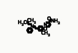 Cc1cc(CCN(CCC(C)C)c2ccccc2)ccc1Oc1ccc(C(N)=O)cn1